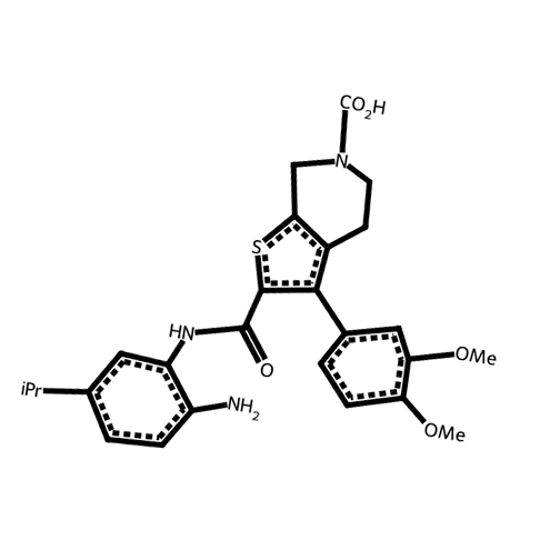 COc1ccc(-c2c(C(=O)Nc3cc(C(C)C)ccc3N)sc3c2CCN(C(=O)O)C3)cc1OC